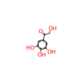 O=C(CO)c1cc(O)c(O)c(O)c1